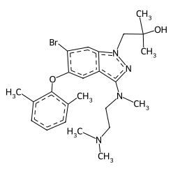 Cc1cccc(C)c1Oc1cc2c(N(C)CCN(C)C)nn(CC(C)(C)O)c2cc1Br